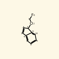 FCOC1[C]=Cc2ccccc21